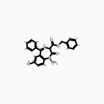 NN1C(=O)C(C(=O)OCc2ccccc2)N=C(c2ccccc2)c2cc(Cl)ccc21